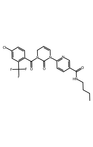 CCCCNC(=O)c1ccc(N2C=CCN(C(=O)c3ccc(Cl)cc3C(F)(F)F)C2=O)nc1